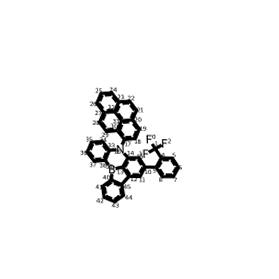 FC(F)(F)c1ccccc1-c1cc2c3c(c1)N(c1ccc4ccc5cccc6ccc1c4c56)c1ccccc1B3c1ccccc1-2